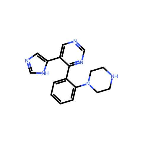 [c]1ncc(-c2cnc[nH]2)c(-c2ccccc2N2CCNCC2)n1